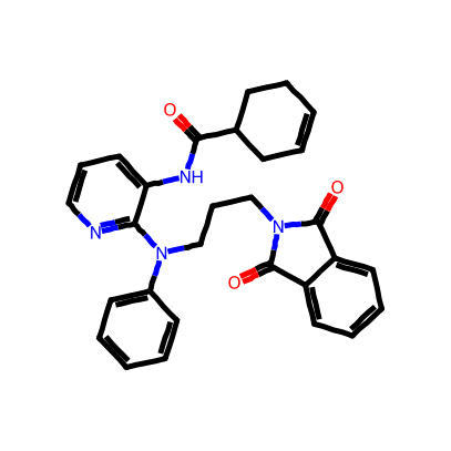 O=C(Nc1cccnc1N(CCCN1C(=O)c2ccccc2C1=O)c1ccccc1)C1CC=CCC1